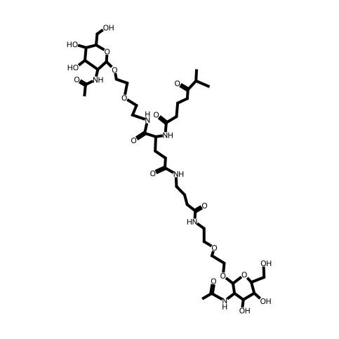 CC(=O)NC1C(OCCOCCNC(=O)CCCNC(=O)CCC(NC(=O)CCCC(=O)C(C)C)C(=O)NCCOCCOC2OC(CO)C(O)C(O)C2NC(C)=O)OC(CO)C(O)C1O